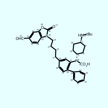 CC(C)(C)N[C@H]1CC[C@H](N(C(=O)O)c2cc(CCCCn3c(=O)oc4cc(C=O)ccc43)ccc2-c2ccccc2)CC1